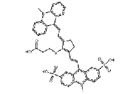 CN1c2ccccc2C(=C/C=C2\CCC(/C=C/c3c4cc(S(=O)(=O)O)ccc4[n+](C)c4ccc(S(=O)(=O)O)cc34)=C2SCCC(=O)O)c2ccccc21